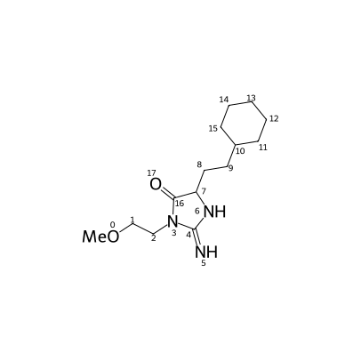 COCCN1C(=N)NC(CCC2CCCCC2)C1=O